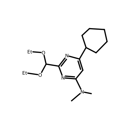 CCOC(OCC)c1nc(C2CCCCC2)cc(N(C)C)n1